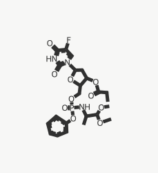 CCC(=O)OC1CC(n2cc(F)c(=O)[nH]c2=O)OC1COP(=O)(NC(C)C(OC)OC)Oc1ccccc1